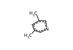 Cc1[c]c(C)cnc1